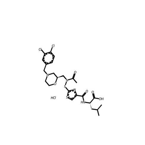 CC(=O)N(C[C@@H]1CN(Cc2ccc(Cl)c(Cl)c2)CCO1)Sc1nc(C(=O)N[C@@H](CC(C)C)C(=O)O)cs1.Cl